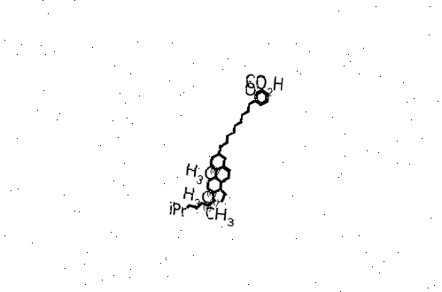 CC(C)CCC[C@@H](C)[C@H]1CCC2C3CC=C4CC(CCCCCCCCCc5ccccc5OC(=O)O)CC[C@]4(C)C3CC[C@@]21C